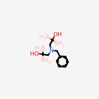 BC(B)(O)CN(Cc1ccccc1)CC(B)(B)O